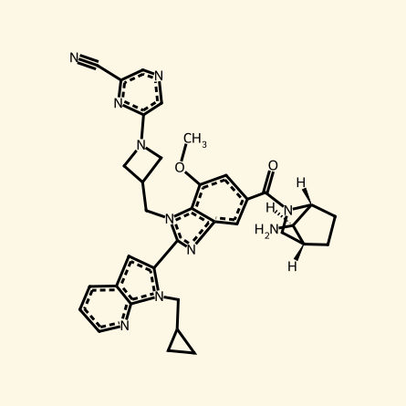 COc1cc(C(=O)N2C[C@H]3CC[C@@H]2[C@@H]3N)cc2nc(-c3cc4cccnc4n3CC3CC3)n(CC3CN(c4cncc(C#N)n4)C3)c12